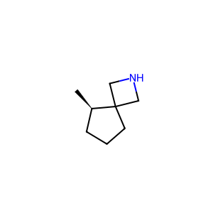 C[C@@H]1CCCC12CNC2